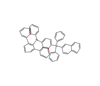 c1ccc(-c2cccc(-c3ccccc3)c2N(c2ccccc2)c2ccc([Si](c3ccccc3)(c3ccccc3)c3ccc4ccccc4c3)cc2)cc1